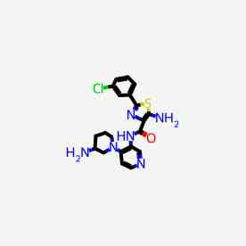 Nc1sc(-c2cccc(Cl)c2)nc1C(=O)Nc1cnccc1N1CCCC(N)C1